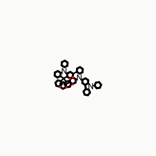 c1ccc(-c2ccc(N(c3ccc4c(c3)c3ccccc3n4-c3ccccc3)c3ccccc3-c3ccc4c(c3)N(c3ccccc3)c3ccccc3C4(c3ccccc3)c3ccccc3)cc2)cc1